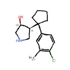 Cc1cc(C2([C@H]3CNC[C@H]3O)CCCC2)ccc1Cl